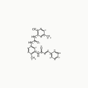 Cc1ccc(NC(=O)Nc2cc(C(F)(F)F)ccc2Cl)cc1NC(=O)C=Cc1cccnc1